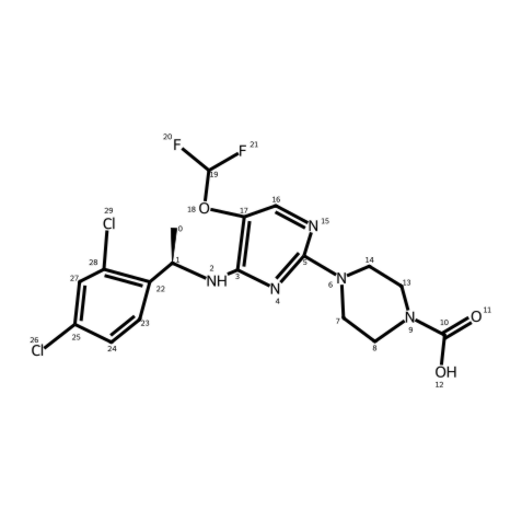 C[C@@H](Nc1nc(N2CCN(C(=O)O)CC2)ncc1OC(F)F)c1ccc(Cl)cc1Cl